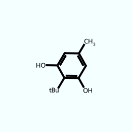 Cc1cc(O)c(C(C)(C)C)c(O)c1